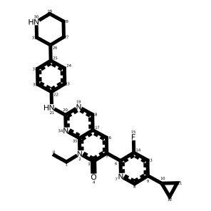 CCn1c(=O)c(-c2ncc(C3CC3)cc2F)cc2cnc(Nc3ccc(C4CCCNC4)cc3)nc21